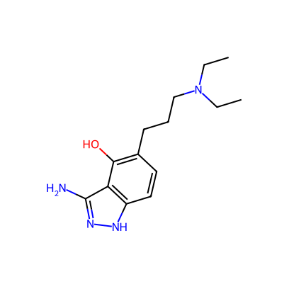 CCN(CC)CCCc1ccc2[nH]nc(N)c2c1O